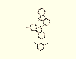 Cc1ccc2c(c1)c1cc(-c3c(C)cccc3C)ccc1n2-c1cccc2c1sc1ccccc12